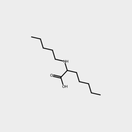 CCCCCNC(CCCCC)C(=O)O